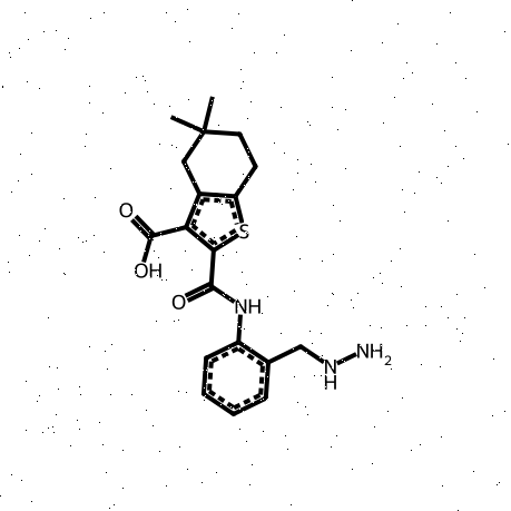 CC1(C)CCc2sc(C(=O)Nc3ccccc3CNN)c(C(=O)O)c2C1